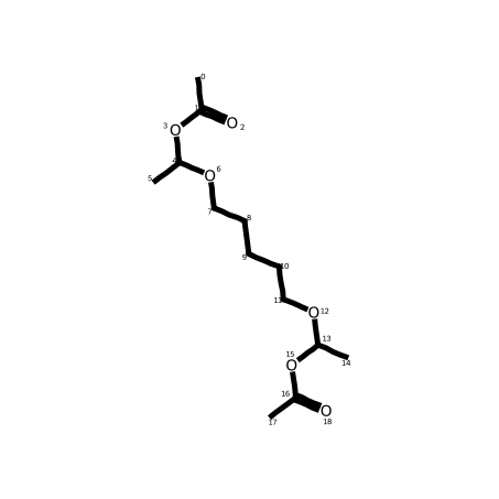 CC(=O)OC(C)OCCCCCOC(C)OC(C)=O